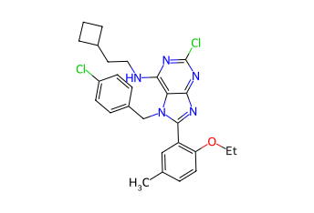 CCOc1ccc(C)cc1-c1nc2nc(Cl)nc(NCCC3CCC3)c2n1Cc1ccc(Cl)cc1